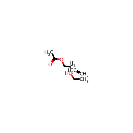 C=C.CCO.CCOC(C)=O